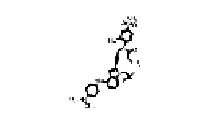 CCC(=O)N(CC#Cc1cc2c(N[C@H]3CC[C@@H](N(C)C)CC3)cccc2n1CC(F)(F)F)c1ccc(S(C)(=O)=O)cc1O